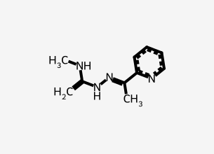 C=C(NC)N/N=C(\C)c1ccccn1